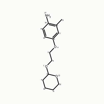 Cc1cc(OCCOC2CCCCO2)ccc1N